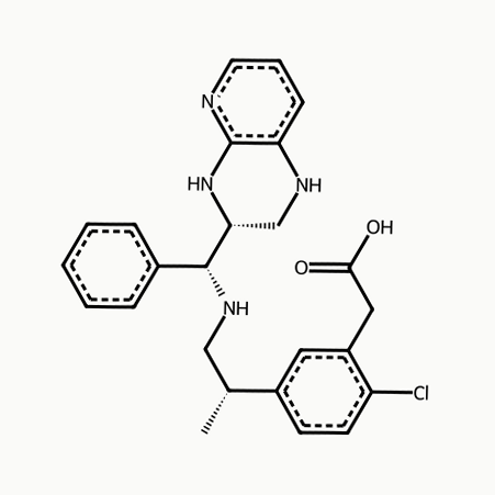 C[C@H](CN[C@H](c1ccccc1)[C@H]1CNc2cccnc2N1)c1ccc(Cl)c(CC(=O)O)c1